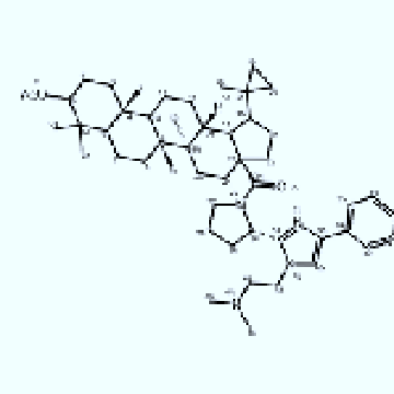 CC(=O)O[C@H]1CC[C@@]2(C)C(CC[C@]3(C)C2CC[C@@H]2C4C(C5(C)CC5)CC[C@]4(C(=O)N4CCC[C@H]4c4nc(-c5cccnc5)cn4CCN(C)C)CC[C@]23C)C1(C)C